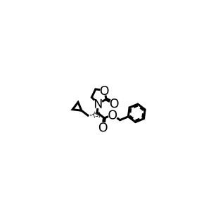 O=C(OCc1ccccc1)[C@H](CC1CC1)N1CCOC1=O